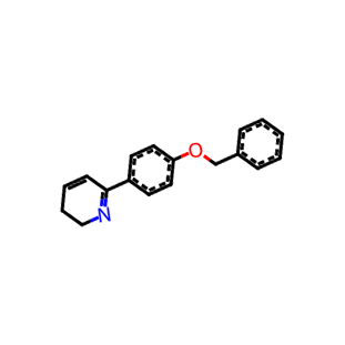 C1=CC(c2ccc(OCc3ccccc3)cc2)=NCC1